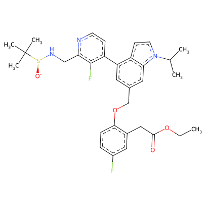 CCOC(=O)Cc1cc(F)ccc1OCc1cc(-c2ccnc(CN[S@@+]([O-])C(C)(C)C)c2F)c2ccn(C(C)C)c2c1